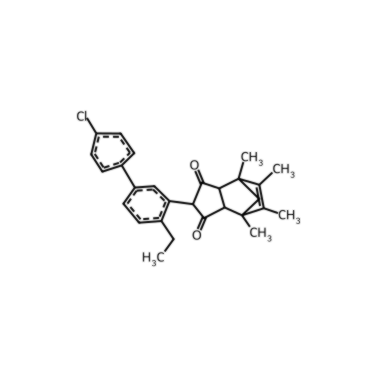 CCc1ccc(-c2ccc(Cl)cc2)cc1C1C(=O)C2C(C1=O)C1(C)CC2(C)C(C)=C1C